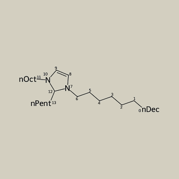 CCCCCCCCCCCCCCCCN1C=CN(CCCCCCCC)C1CCCCC